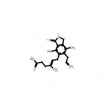 C=CCc1c(C)c2c(c(O)c1C/C=C(\C)CCC(=O)O)C(=O)OC2